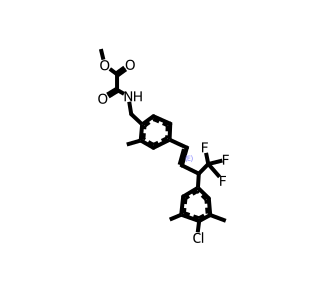 COC(=O)C(=O)NCc1ccc(/C=C/C(c2cc(C)c(Cl)c(C)c2)C(F)(F)F)cc1C